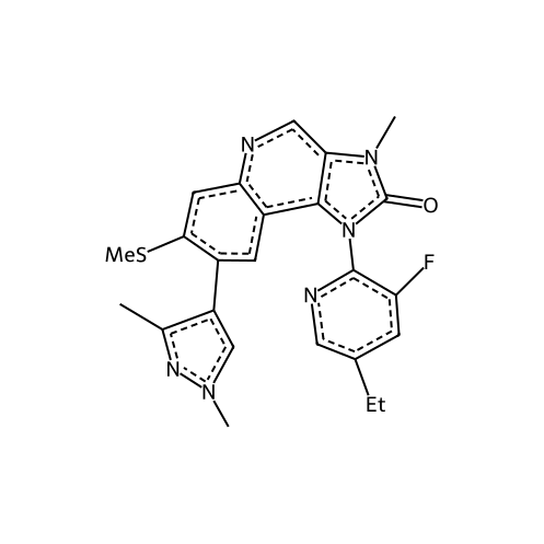 CCc1cnc(-n2c(=O)n(C)c3cnc4cc(SC)c(-c5cn(C)nc5C)cc4c32)c(F)c1